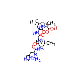 CC(C)CC(NC(=O)CNC(=O)C(CC(C)C)NC(=O)C(N)Cc1cnc[nH]1)C(=O)NC(C)C(=O)O